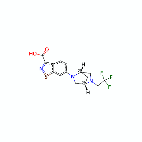 O=C(O)c1nsc2cc(N3C[C@@H]4C[C@H]3CN4CC(F)(F)F)ccc12